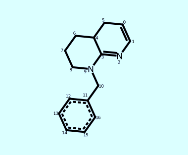 C1=CN=C2C(C1)CCCN2Cc1ccccc1